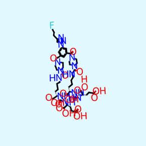 O=C(O)CC[C@H](NC(=O)N[C@@H](CCCCNC(=O)N1CCN(C(=O)c2cc(C(=O)N3CCN(C(=O)NCCCC[C@H](NC(=O)N[C@@H](CCC(=O)O)C(=O)O)C(=O)O)CC3)cc(-n3cc(CCCF)nn3)c2)CC1)C(=O)O)C(=O)O